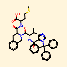 CSCCC(NC(=O)C1Cc2ccccc2CN1C(=O)[C@@H](NC(=O)c1cncn1C(c1ccccc1)(c1ccccc1)c1ccccc1)C(C)C)C(=O)O